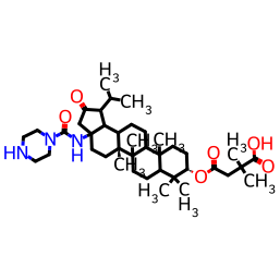 CC(C)C1C(=O)CC2(NC(=O)N3CCNCC3)CC[C@]3(C)C(CCC4C5(C)CC[C@H](OC(=O)CC(C)(C)C(=O)O)C(C)(C)C5CCC43C)C12